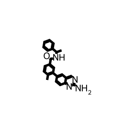 Cc1ccc(C(=O)NC(C)c2ccccc2)cc1-c1ccc2nc(N)ncc2c1